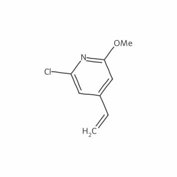 C=Cc1cc(Cl)nc(OC)c1